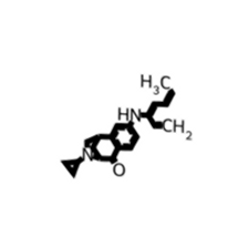 C=C/C(=C\C=C/C)Nc1ccc2c(c1)C1CC(C2=O)N(C2CC2)C1